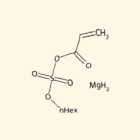 C=CC(=O)OS(=O)(=O)OCCCCCC.[MgH2]